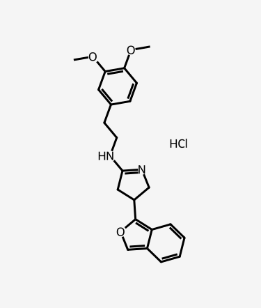 COc1ccc(CCNC2=NCC(c3occ4ccccc34)C2)cc1OC.Cl